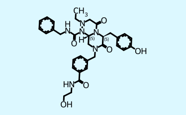 CCN1CC(=O)N2[C@@H](Cc3ccc(O)cc3)C(=O)N(Cc3cccc(C(=O)NCCO)c3)C[C@@H]2N1C(=O)NCc1ccccc1